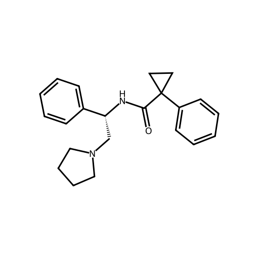 O=C(N[C@H](CN1CCCC1)c1ccccc1)C1(c2ccccc2)CC1